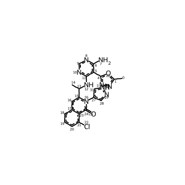 Cc1nnc(-c2c(N)ncnc2NC(C)c2cc3cccc(Cl)c3c(=O)n2-c2cn[nH]c2)o1